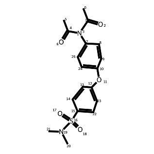 CC(=O)N(C(C)=O)c1ccc(Oc2ccc(S(=O)(=O)N(C)C)cc2)cc1